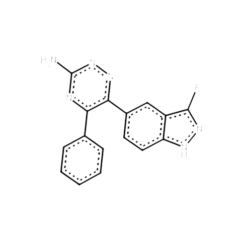 Nc1nnc(-c2ccc3[nH]nc(F)c3c2)c(-c2ccccc2)n1